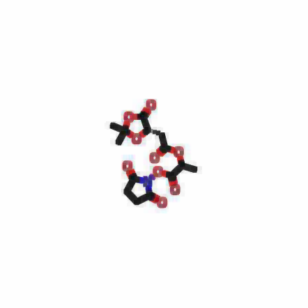 CC(OC(=O)C[C@@H]1OC(C)(C)OC1=O)C(=O)ON1C(=O)CCC1=O